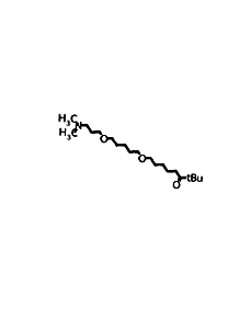 CN(C)CCCOCCCCCOCCCCCC(=O)C(C)(C)C